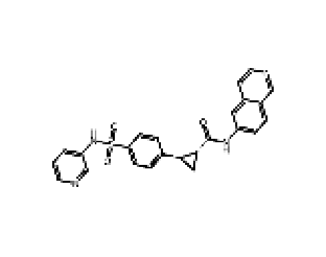 O=C(Nc1ccc2cnccc2c1)[C@@H]1C[C@H]1c1ccc(S(=O)(=O)Nc2cccnc2)cc1